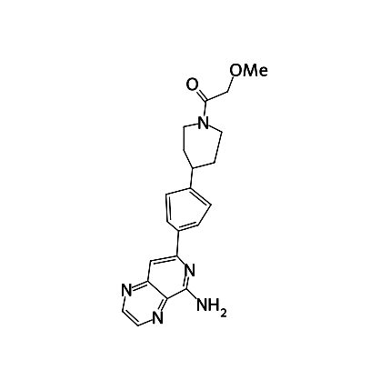 COCC(=O)N1CCC(c2ccc(-c3cc4nccnc4c(N)n3)cc2)CC1